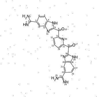 N=C(N)c1ccc2[nH]c(C(=O)c3cccc(C(=O)c4nc5cc(C(=N)N)ccc5[nH]4)n3)nc2c1